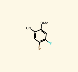 COc1cc(F)c(Br)cc1N=O